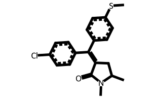 CSc1ccc(C(=C2CC(C)N(C)C2=O)c2ccc(Cl)cc2)cc1